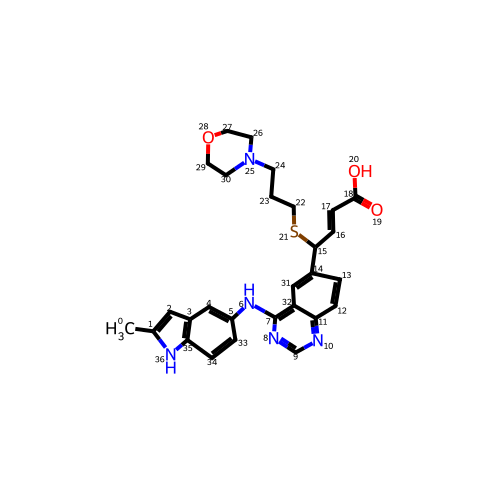 Cc1cc2cc(Nc3ncnc4ccc(C(C=CC(=O)O)SCCCN5CCOCC5)cc34)ccc2[nH]1